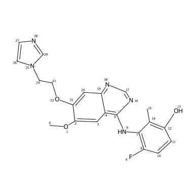 COc1cc2c(Nc3c(F)ccc(O)c3C)ncnc2cc1OCCn1ccnc1